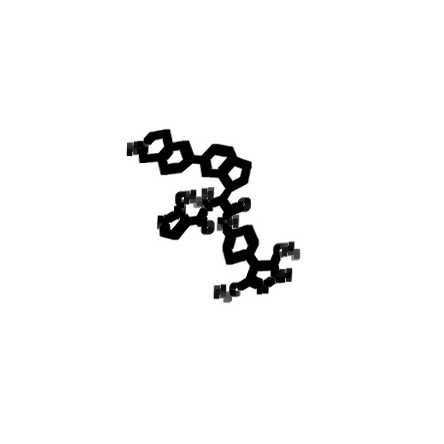 Cc1n[nH]c(C)c1-c1ccc(NC(=O)C(NC(=O)c2ccnn2C)[C@@H]2CCc3ccc(-c4ccc5c(c4)CCNC5)cc32)cc1